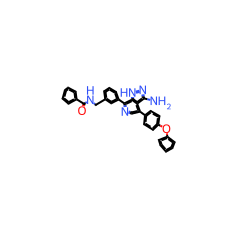 Nc1n[nH]c2c(-c3cccc(CNC(=O)c4ccccc4)c3)ncc(-c3ccc(Oc4ccccc4)cc3)c12